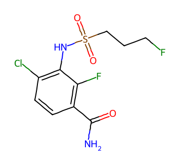 NC(=O)c1ccc(Cl)c(NS(=O)(=O)CCCF)c1F